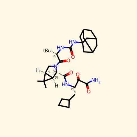 CC(C)(C)[C@H](NC(=O)NC12CC3CC(CC(C3)C1)C2)C(=O)N1C[C@H]2[C@@H]([C@H]1C(=O)N[C@@H](CC1CCC1)C(=O)C(N)=O)C2(C)C